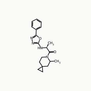 CC1CC2(CCN1C(=O)[C@H](C)Nc1nnc(-c3ccccc3)o1)CC2